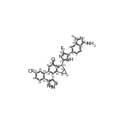 Cn1nc(N)c2ccc(-c3[nH]c(C4C5CC5c5cc(-c6cc(Cl)ccc6-n6cnnn6)cc(=O)n54)nc3F)cc21